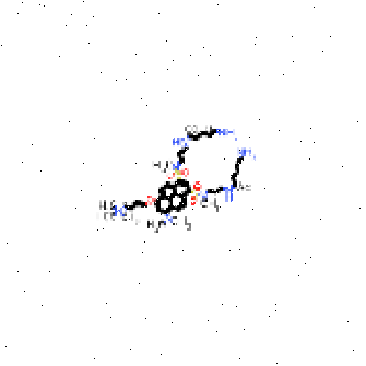 CC(=O)C(CCCCN)NCCCN(C)S(=O)(=O)c1cc(S(=O)(=O)N(C)CCCNC(CCCCN)C(=O)O)c2ccc3c(OCCCC[N+](C)(C)C)cc(N(C)C)c4ccc1c2c34